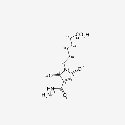 NNC(=O)C1=CC(=O)N(CCCCCC(=O)O)C1=O